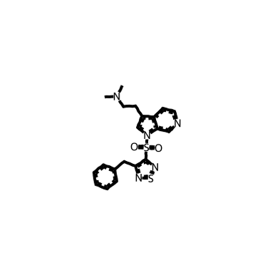 CN(C)CCc1cn(S(=O)(=O)c2nsnc2Cc2ccccc2)c2cnccc12